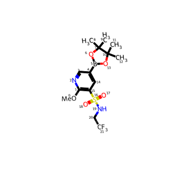 COc1ncc(B2OC(C)(C)C(C)(C)O2)cc1S(=O)(=O)NCC(F)(F)F